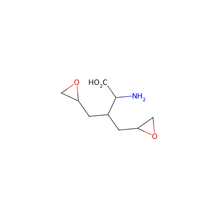 NC(C(=O)O)C(CC1CO1)CC1CO1